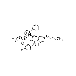 CCCCOc1ccc([C@@H](Nc2ccc(F)cc2)[C@@H](CCC(=O)OC)C(=O)N2C(=O)OC[C@@H]2c2ccccc2)cc1